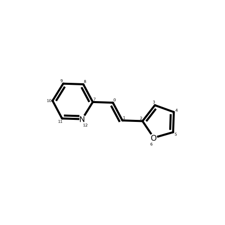 C(=C\c1ccco1)/c1ccccn1